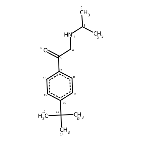 CC(C)NCC(=O)c1ccc(C(C)(C)C)cc1